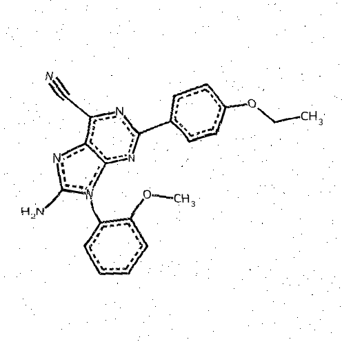 CCOc1ccc(-c2nc(C#N)c3nc(N)n(-c4ccccc4OC)c3n2)cc1